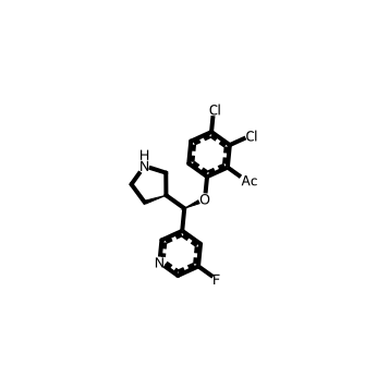 CC(=O)c1c(O[C@@H](c2cncc(F)c2)[C@H]2CCNC2)ccc(Cl)c1Cl